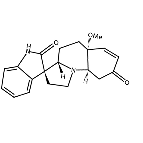 CO[C@]12C=CC(=O)C[C@H]1N1CC[C@@]3(C(=O)Nc4ccccc43)[C@@H]1CC2